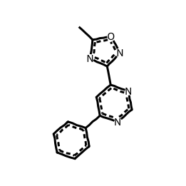 Cc1nc(-c2cc(-c3ccccc3)ncn2)no1